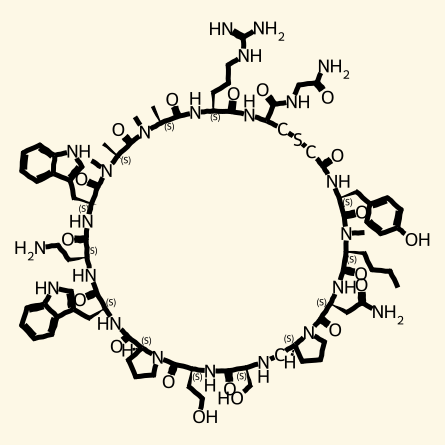 CCCC[C@H]1C(=O)N[C@@H](CC(N)=O)C(=O)N2CCC[C@H]2CN[C@@H](CO)C(=O)N[C@@H](CCO)C(=O)N2CCC[C@H]2C(=O)N[C@@H](Cc2c[nH]c3ccccc23)C(=O)N[C@@H](CCN)C(=O)N[C@@H](Cc2c[nH]c3ccccc23)C(=O)N(C)[C@@H](C)C(=O)N(C)[C@@H](C)C(=O)N[C@@H](CCCNC(=N)N)C(=O)NC(C(=O)NCC(N)=O)CSCC(=O)N[C@@H](Cc2ccc(O)cc2)C(=O)N1C